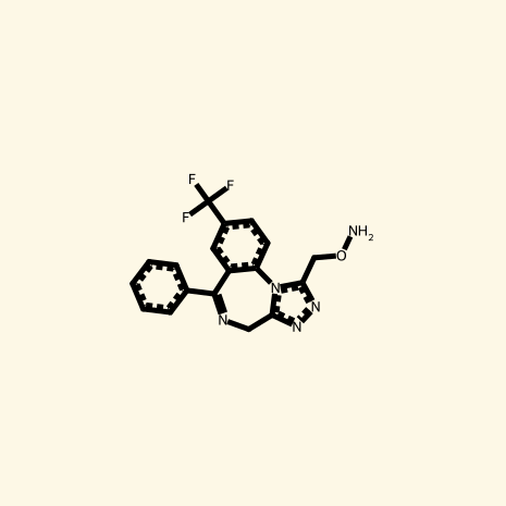 NOCc1nnc2n1-c1ccc(C(F)(F)F)cc1C(c1ccccc1)=NC2